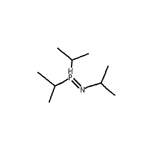 CC(C)N=[PH](C(C)C)C(C)C